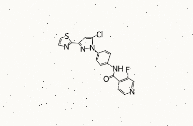 O=C(Nc1ccc(-n2nc(-c3nccs3)cc2Cl)cc1)c1ccncc1F